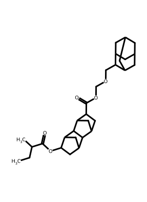 CCC(C)C(=O)OC1CC2CC1C1C3CC(CC3C(=O)OCOCC3C4CC5CC(C4)CC3C5)C21